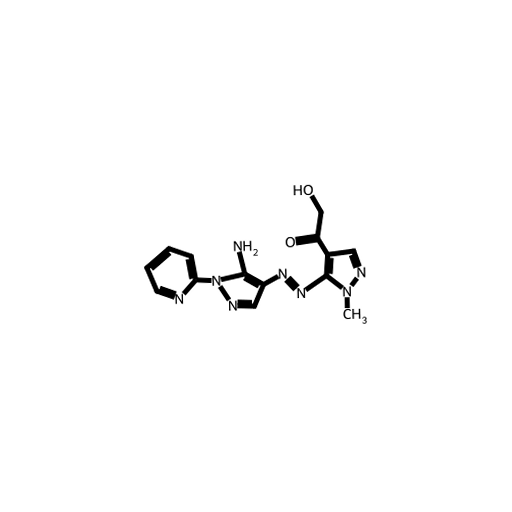 Cn1ncc(C(=O)CO)c1/N=N/c1cnn(-c2ccccn2)c1N